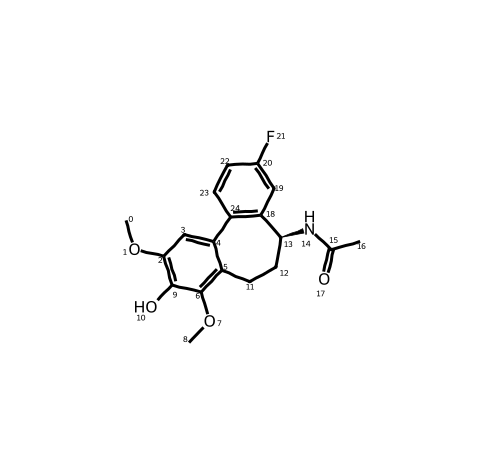 COc1cc2c(c(OC)c1O)CC[C@H](NC(C)=O)c1cc(F)ccc1-2